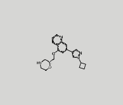 c1cnc2cc(-c3cnn(C4CCC4)c3)cc(OC[C@@H]3CNCCO3)c2c1